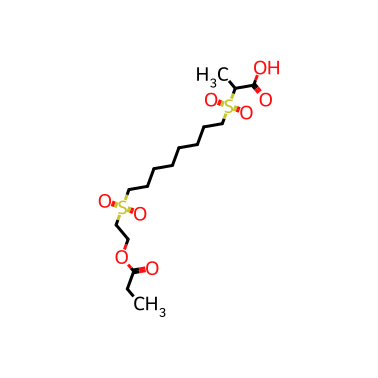 CCC(=O)OCCS(=O)(=O)CCCCCCCCS(=O)(=O)C(C)C(=O)O